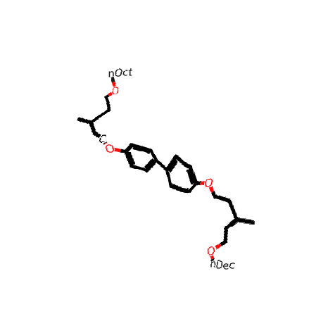 CCCCCCCCCCOCCC(C)CCOc1ccc(-c2ccc(OCCC(C)CCOCCCCCCCC)cc2)cc1